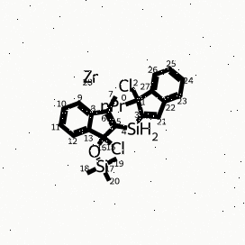 CCCC1(Cl)C([SiH2]C2=C(C)c3ccccc3C2(Cl)O[Si](C)(C)C)=Cc2ccccc21.[Zr]